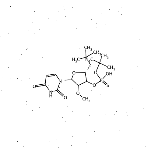 COC1C(OP(O)(=S)OC(C)(C)C)[C@@H](CC(C)(C)C)O[C@H]1n1ccc(=O)[nH]c1=O